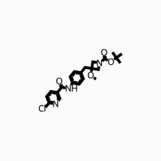 COC1(Cc2ccc(NC(=O)c3ccc(Cl)nc3)cc2)CN(C(=O)OC(C)(C)C)C1